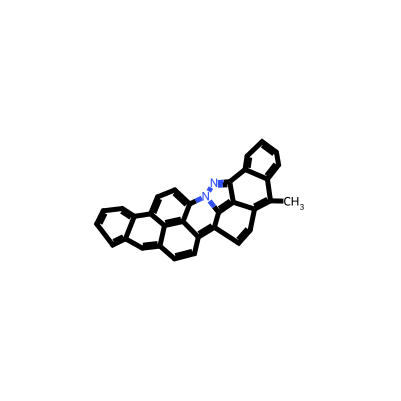 Cc1c2ccccc2c2nn3c4ccc5c6ccccc6cc6ccc(c7ccc1c2c73)c4c65